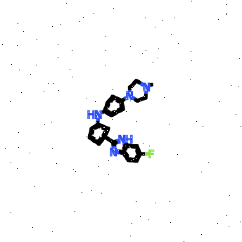 CN1CCN(c2ccc(Nc3cccc(-c4nc5ccc(F)cc5[nH]4)c3)cc2)CC1